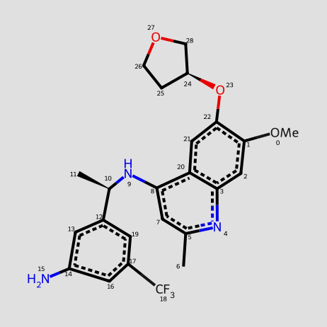 COc1cc2nc(C)cc(N[C@H](C)c3cc(N)cc(C(F)(F)F)c3)c2cc1O[C@H]1CCOC1